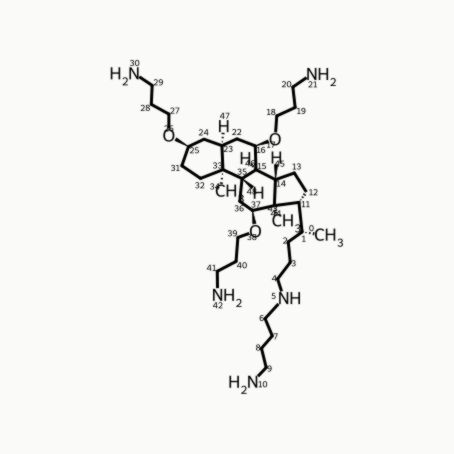 C[C@H](CCCNCCCCN)[C@H]1CC[C@H]2[C@@H]3[C@H](OCCCN)C[C@@H]4C[C@H](OCCCN)CC[C@]4(C)[C@H]3C[C@H](OCCCN)[C@]12C